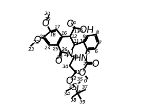 COC(=O)Nc1ccccc1C1C(C(=O)O)c2cc(OC)c(OC)cc2C(=O)N1CCCO[Si](C)(C)C(C)(C)C